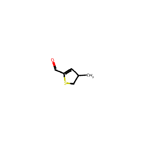 CC1C=C(C=O)SC1